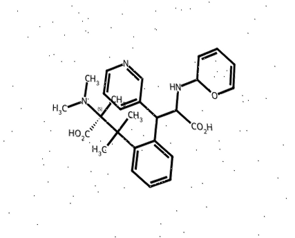 CN(C)[C@](C)(C(=O)O)C(C)(C)c1ccccc1C(c1cccnc1)C(NC1C=CC=CO1)C(=O)O